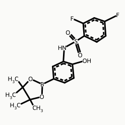 CC1(C)OB(c2ccc(O)c(NS(=O)(=O)c3ccc(F)cc3F)c2)OC1(C)C